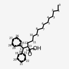 CCCCCCCCCCCCCC(C(=O)O)C(c1ccccc1)c1ccccc1